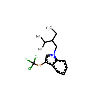 N#CC(C#N)C(Cn1cc(SC(F)(Cl)Cl)c2ccccc21)CC(F)(F)F